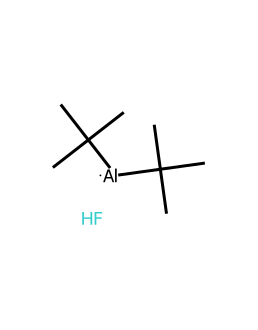 C[C](C)(C)[Al][C](C)(C)C.F